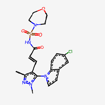 Cc1nn(C)c(-n2ccc3cc(Cl)ccc32)c1/C=C/C(=O)NS(=O)(=O)N1CCOCC1